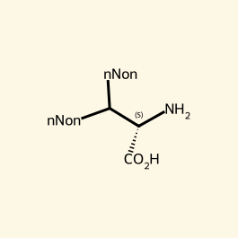 CCCCCCCCCC(CCCCCCCCC)[C@H](N)C(=O)O